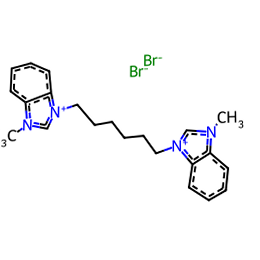 Cn1c[n+](CCCCCC[n+]2cn(C)c3ccccc32)c2ccccc21.[Br-].[Br-]